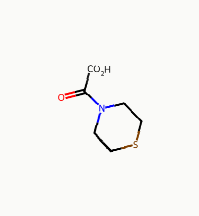 O=C(O)C(=O)N1CCSCC1